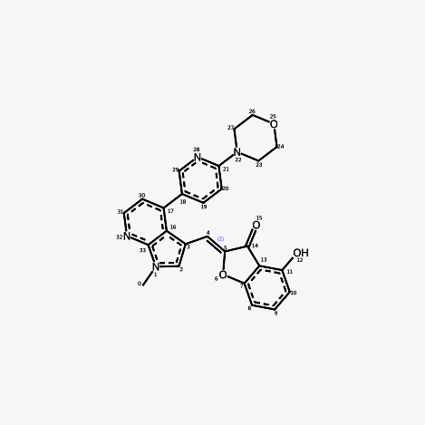 Cn1cc(/C=C2\Oc3cccc(O)c3C2=O)c2c(-c3ccc(N4CCOCC4)nc3)ccnc21